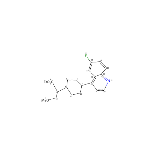 CCOC(=O)C(COC)C1CCC(c2ccnc3ccc(F)cc23)CC1